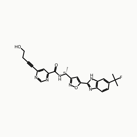 C[C@@H](NC(=O)c1cc(C#CCCO)ncn1)c1cc(-c2nc3ccc(C(C)(C)F)cc3[nH]2)on1